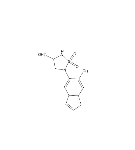 O=CC1CN(c2cc3c(cc2O)CC=C3)S(=O)(=O)N1